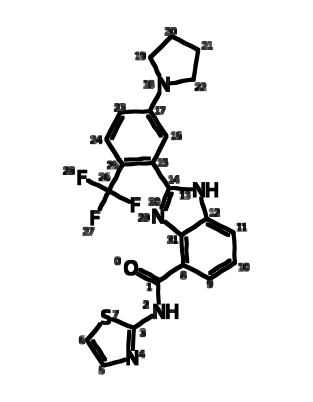 O=C(Nc1nccs1)c1cccc2[nH]c(-c3cc(N4CCCC4)ccc3C(F)(F)F)nc12